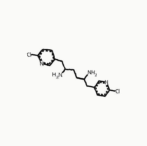 NC(CCC(N)Cc1ccc(Cl)nc1)Cc1ccc(Cl)nc1